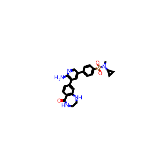 CN(C1CC1)S(=O)(=O)c1ccc(-c2cnc(N)c(-c3ccc4c(c3)NCCNC4=O)c2)cc1